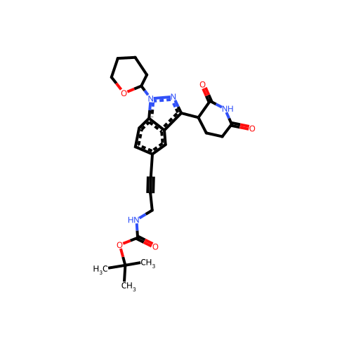 CC(C)(C)OC(=O)NCC#Cc1ccc2c(c1)c(C1CCC(=O)NC1=O)nn2C1CCCCO1